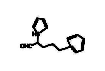 O=CC(CCCc1ccccc1)[SH]1C=CC=C1